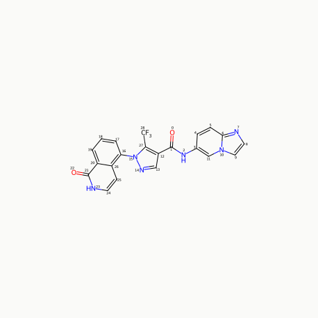 O=C(Nc1ccc2nccn2c1)c1cnn(-c2cccc3c(=O)[nH]ccc23)c1C(F)(F)F